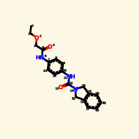 CCOCC(=O)Nc1ccc(NC(=O)N2Cc3ccccc3C2)cc1